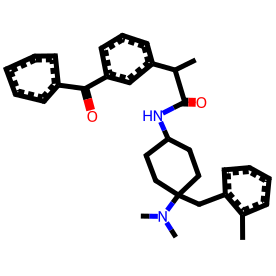 Cc1ccccc1CC1(N(C)C)CCC(NC(=O)C(C)c2cccc(C(=O)c3ccccc3)c2)CC1